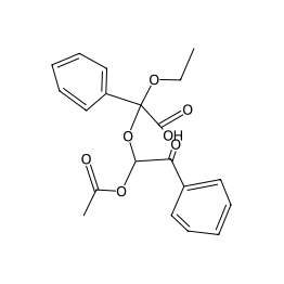 CCOC(OC(OC(C)=O)C(=O)c1ccccc1)(C(=O)O)c1ccccc1